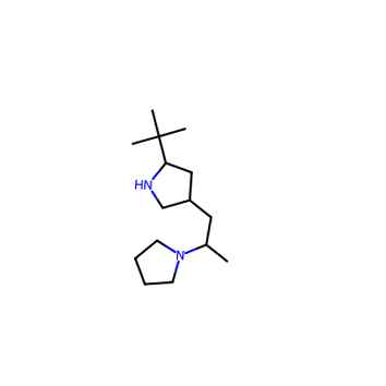 CC(CC1CNC(C(C)(C)C)C1)N1CCCC1